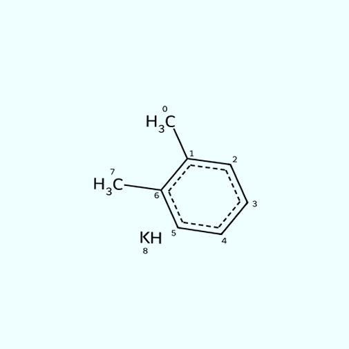 Cc1ccccc1C.[KH]